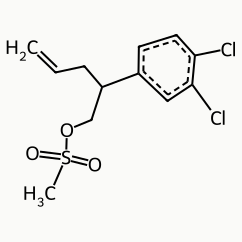 C=CCC(COS(C)(=O)=O)c1ccc(Cl)c(Cl)c1